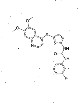 COc1cc2nccc(Sc3ccc(NC(=O)Nc4cccc(F)c4)s3)c2cc1OC